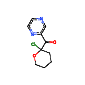 O=C(c1cnccn1)C1(Cl)CCCCO1